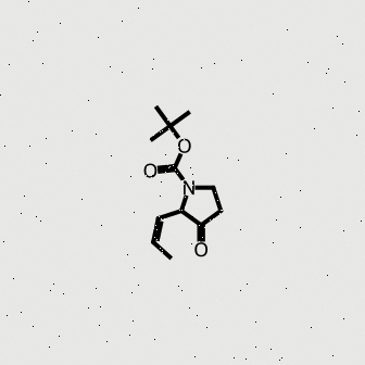 C/C=C\C1C(=O)CCN1C(=O)OC(C)(C)C